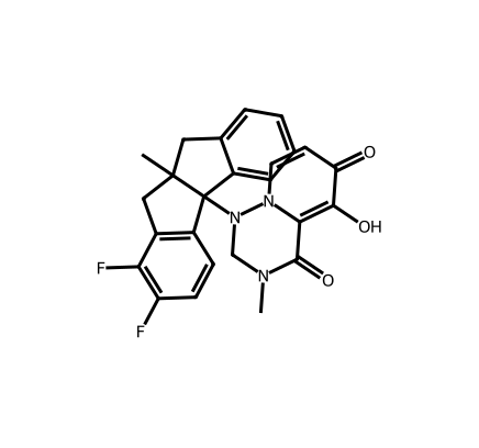 CN1CN(C23c4ccccc4CC2(C)Cc2c3ccc(F)c2F)n2ccc(=O)c(O)c2C1=O